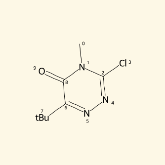 Cn1c(Cl)nnc(C(C)(C)C)c1=O